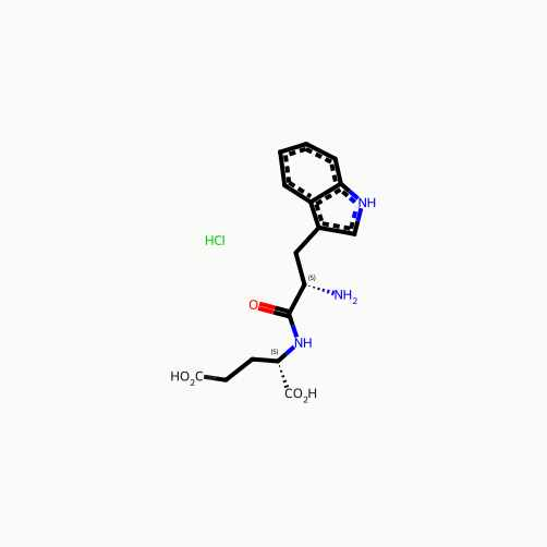 Cl.N[C@@H](Cc1c[nH]c2ccccc12)C(=O)N[C@@H](CCC(=O)O)C(=O)O